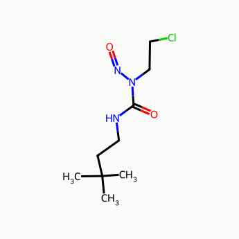 CC(C)(C)CCNC(=O)N(CCCl)N=O